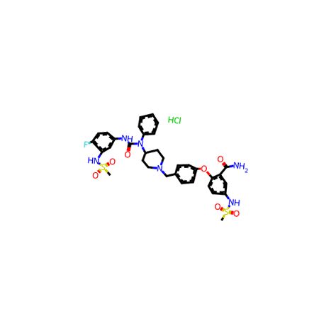 CS(=O)(=O)Nc1ccc(Oc2ccc(CN3CCC(N(C(=O)Nc4ccc(F)c(NS(C)(=O)=O)c4)c4ccccc4)CC3)cc2)c(C(N)=O)c1.Cl